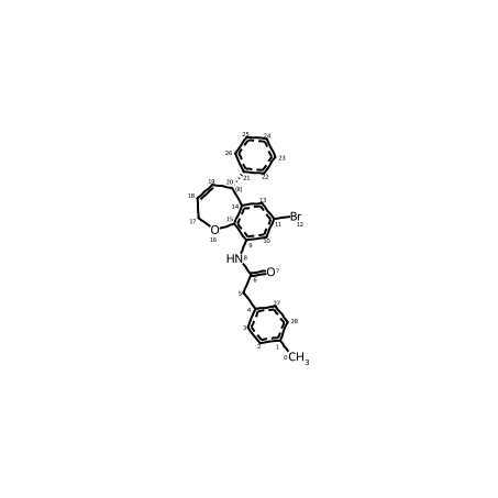 Cc1ccc(CC(=O)Nc2cc(Br)cc3c2OCC=C[C@@H]3c2ccccc2)cc1